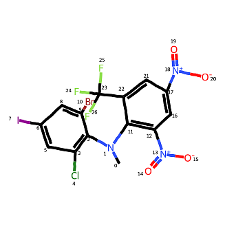 CN(c1c(Cl)cc(I)cc1Br)c1c([N+](=O)[O-])cc([N+](=O)[O-])cc1C(F)(F)F